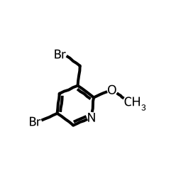 COc1ncc(Br)cc1CBr